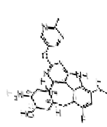 CNc1cc(F)c2c3c1[nH]c1nc(Oc4cnc(C)nc4)nc(c13)[C@H]1C[C@H](N)[C@@H](O)C[C@@H]1C2